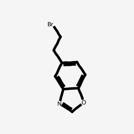 BrCCc1ccc2ocnc2c1